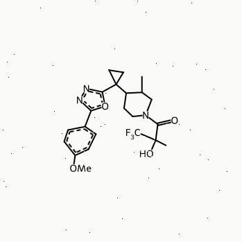 COc1ccc(-c2nnc(C3(C4CCN(C(=O)C(C)(O)C(F)(F)F)CC4C)CC3)o2)cc1